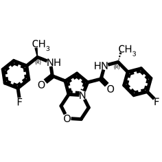 C[C@@H](NC(=O)c1cc(C(=O)N[C@H](C)c2ccc(F)cc2)n2c1COCC2)c1cccc(F)c1